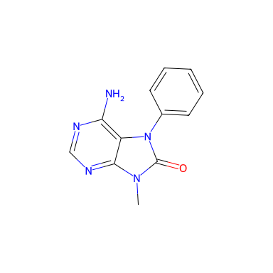 Cn1c(=O)n(-c2ccccc2)c2c(N)ncnc21